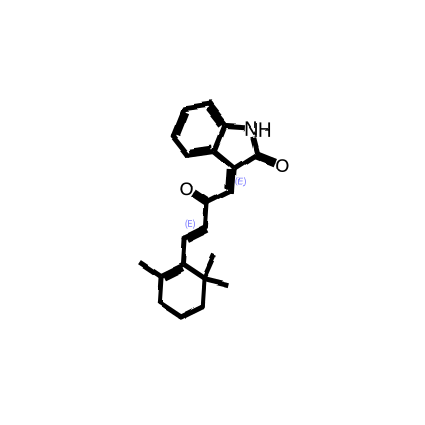 CC1=C(/C=C/C(=O)/C=C2/C(=O)Nc3ccccc32)C(C)(C)CCC1